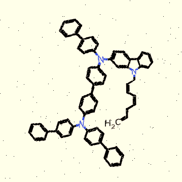 C=CC/C=C\C=C/Cn1c2ccccc2c2ccc(N(c3ccc(-c4ccccc4)cc3)c3ccc(-c4ccc(N(c5ccc(-c6ccccc6)cc5)c5ccc(-c6ccccc6)cc5)cc4)cc3)cc21